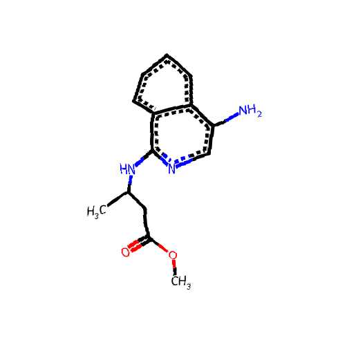 COC(=O)CC(C)Nc1ncc(N)c2ccccc12